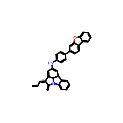 C=C/C=C1\C(=C)N2c3ccccc3C3C=C(Nc4ccc(-c5ccc6c(c5)oc5ccccc56)cc4)C=C1C32